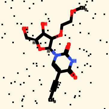 CC#Cc1cn([C@H]2O[C@@H](CO)C(O)C2OCCOC)c(=O)[nH]c1=O